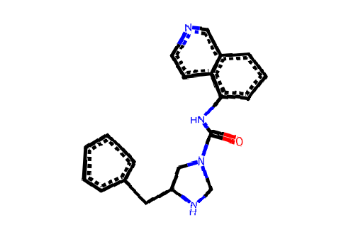 O=C(Nc1cccc2cnccc12)N1CNC(Cc2ccccc2)C1